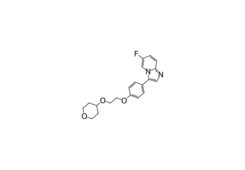 Fc1ccc2ncc(-c3ccc(OCCOC4CCOCC4)cc3)n2c1